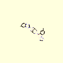 Cc1ccc(-n2nccn2)c(C(=O)N2CC3CC(C2)CN(c2cnc4ccc(F)cc4n2)C3)c1